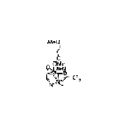 COCCOCc1nc(C(F)(F)F)ccc1C12C=NN(C)C(=O)C1(OC)O2